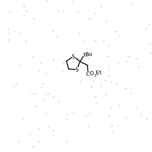 CCOC(=O)CC1(C(C)(C)C)SCCS1